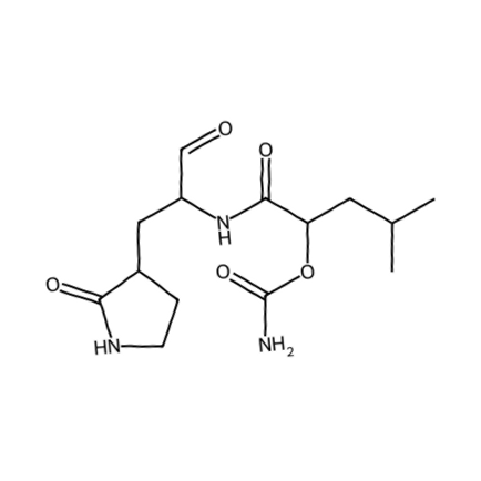 CC(C)CC(OC(N)=O)C(=O)NC(C=O)CC1CCNC1=O